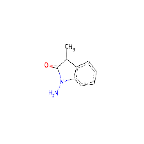 CC1C(=O)N(N)c2ccccc21